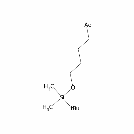 CC(=O)CCCCO[Si](C)(C)C(C)(C)C